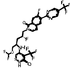 O=c1[nH]ncc(NC(COC(F)F)C[C@@H](F)Cn2ccc3cc(-c4ncc(C(F)(F)F)cn4)c(F)cc3c2=O)c1C(F)(F)F